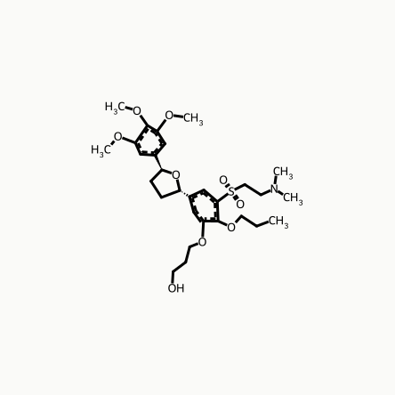 CCCOc1c(OCCCO)cc([C@@H]2CC[C@@H](c3cc(OC)c(OC)c(OC)c3)O2)cc1S(=O)(=O)CCN(C)C